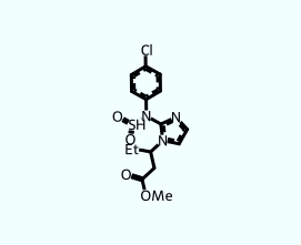 [CH2]CC(CC(=O)OC)n1ccnc1N(c1ccc(Cl)cc1)[SH](=O)=O